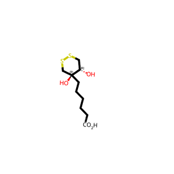 O=C(O)CCCCC[C@]1(O)CSSC[C@@H]1O